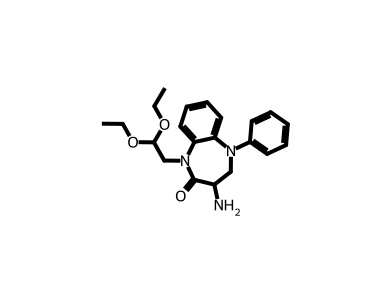 CCOC(CN1C(=O)C(N)CN(c2ccccc2)c2ccccc21)OCC